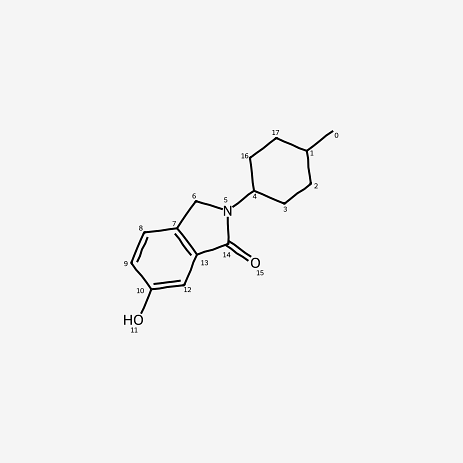 CC1CCC(N2Cc3ccc(O)cc3C2=O)CC1